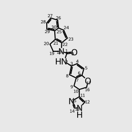 O=C(Nc1ccc2c(c1)CC(c1c[nH]cn1)CO2)N1CCc2c1ccc1ccccc21